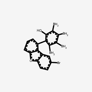 Bc1c(B)c(B)c(-c2cccc3oc4ccc(Br)cc4c23)c(O)c1B